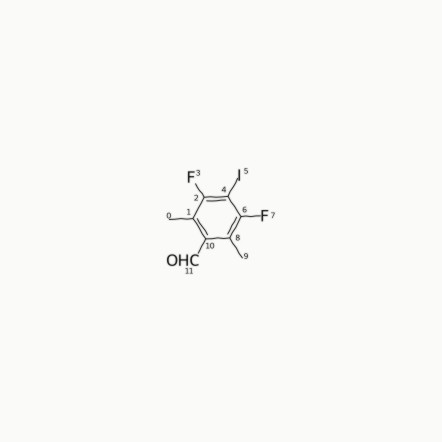 Cc1c(F)c(I)c(F)c(C)c1C=O